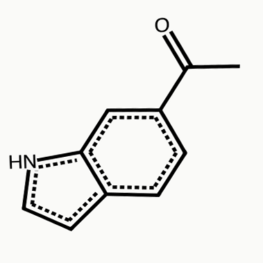 CC(=O)c1ccc2cc[nH]c2c1